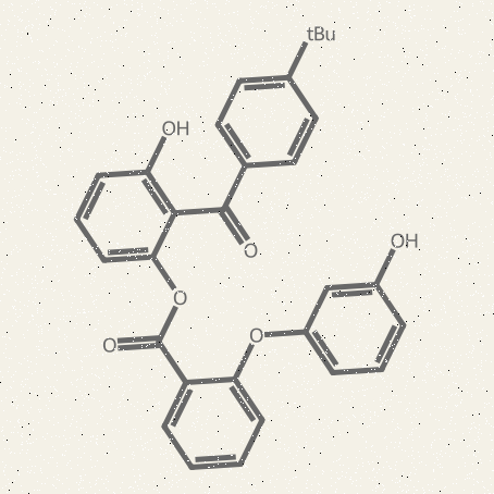 CC(C)(C)c1ccc(C(=O)c2c(O)cccc2OC(=O)c2ccccc2Oc2cccc(O)c2)cc1